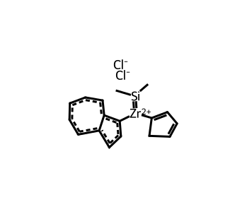 C[Si](C)=[Zr+2]([C]1=CC=CC1)[c]1ccc2cccccc1-2.[Cl-].[Cl-]